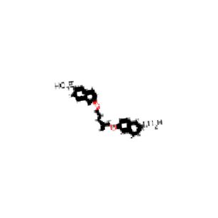 CC(CCCOc1ccc2cc(C(=O)O)ccc2c1)COc1ccc2cc(C(=O)O)ccc2c1